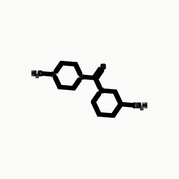 CN1CCN(C(=O)N2CCCC(C(=O)O)C2)CC1